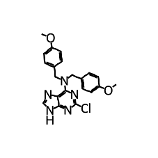 COc1ccc(CN(Cc2ccc(OC)cc2)c2nc(Cl)nc3[nH]cnc23)cc1